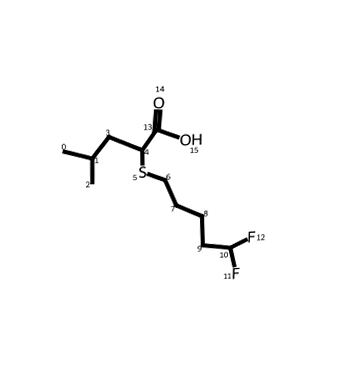 CC(C)CC(SCCCCC(F)F)C(=O)O